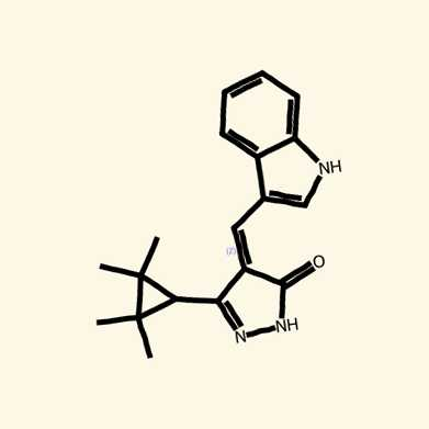 CC1(C)C(C2=NNC(=O)/C2=C\c2c[nH]c3ccccc23)C1(C)C